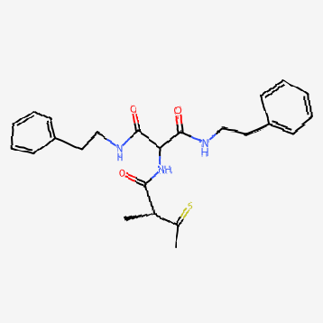 CC(=S)[C@@H](C)C(=O)NC(C(=O)NCCc1ccccc1)C(=O)NCCc1ccccc1